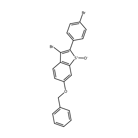 [O-][s+]1c(-c2ccc(Br)cc2)c(Br)c2ccc(OCc3ccccc3)cc21